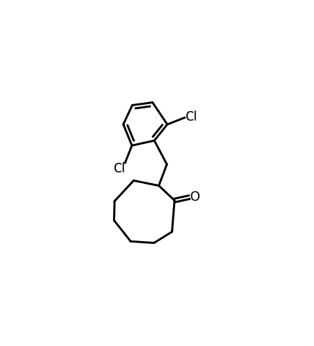 O=C1CCCCCCC1Cc1c(Cl)cccc1Cl